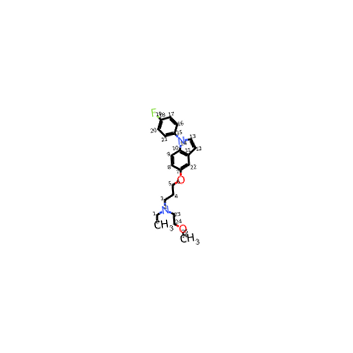 CCN(CCCOc1ccc2c(ccn2-c2ccc(F)cc2)c1)CCOC